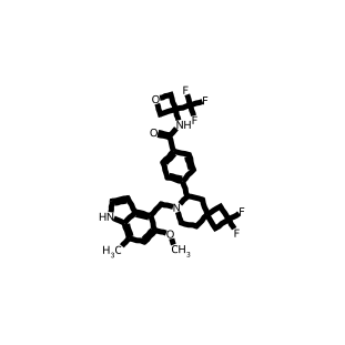 COc1cc(C)c2[nH]ccc2c1CN1CCC2(CC1c1ccc(C(=O)NC3(C(F)(F)F)COC3)cc1)CC(F)(F)C2